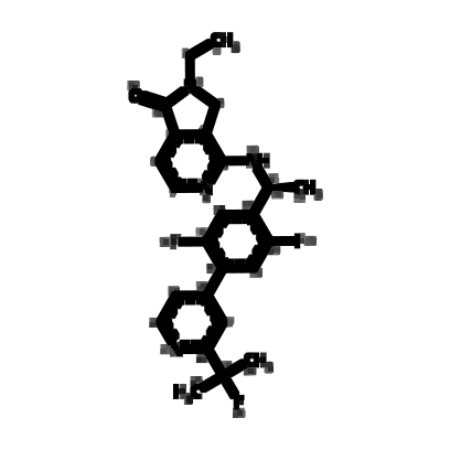 CCN1Cc2c(ccnc2N[C@@H](C)c2cc(F)c(-c3ccnc(C(C)(C)F)c3)cc2F)C1=O